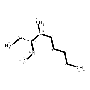 CCCCCN(C)[C@@H](CC)NC